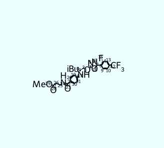 CC[C@H](C)[C@@H](COc1nnc(-c2ccc(C(F)(F)F)cc2F)o1)Nc1ccc(C(=O)NCCC(=O)OC)cc1